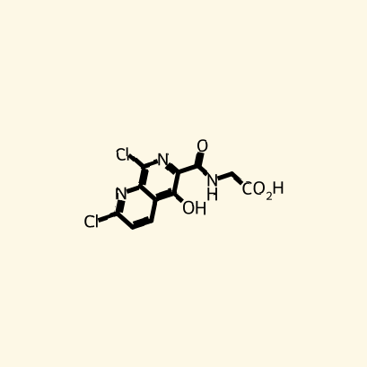 O=C(O)CNC(=O)c1nc(Cl)c2nc(Cl)ccc2c1O